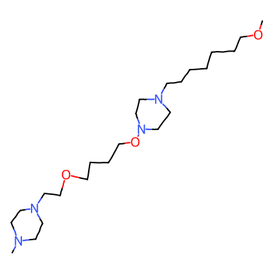 COCCCCCCCN1CCN(OCCCCOCCN2CCN(C)CC2)CC1